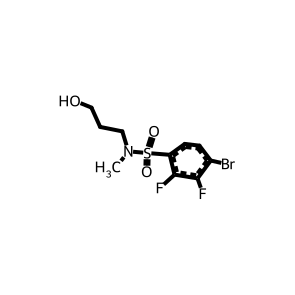 CN(CCCO)S(=O)(=O)c1ccc(Br)c(F)c1F